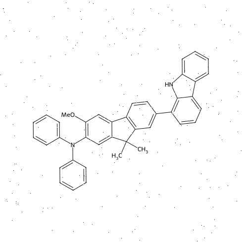 COc1cc2c(cc1N(c1ccccc1)c1ccccc1)C(C)(C)c1cc(-c3cccc4c3[nH]c3ccccc34)ccc1-2